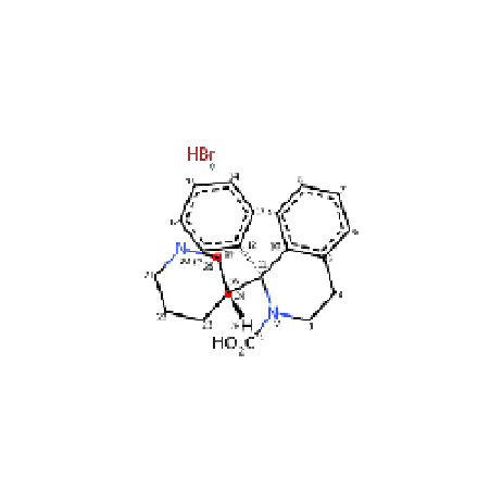 Br.O=C(O)N1CCc2ccccc2[C@]1(c1ccccc1)[C@H]1CN2CCC1CC2